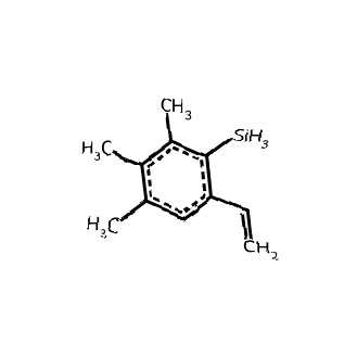 C=Cc1cc(C)c(C)c(C)c1[SiH3]